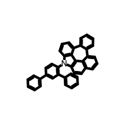 c1ccc(-c2ccc(-n3c4cccc5c4c4c6c(cccc6ccc43)-c3ccccc3-5)c(-c3ccccc3)c2)cc1